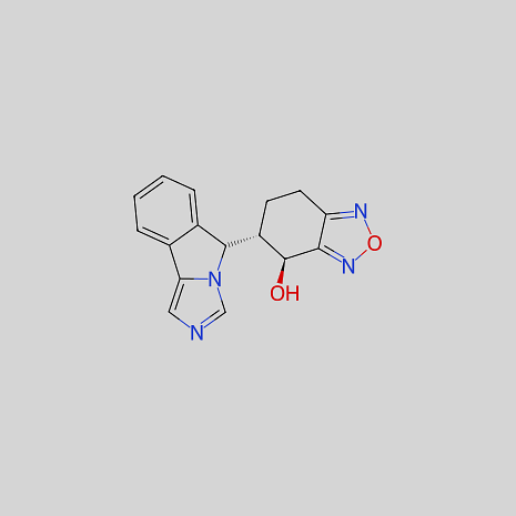 O[C@@H]1c2nonc2CC[C@H]1C1c2ccccc2-c2cncn21